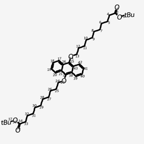 CC(C)(C)OC(=O)CCCCCCCCCCOc1c2ccccc2c(OCCCCCCCCCCC(=O)OC(C)(C)C)c2ccccc12